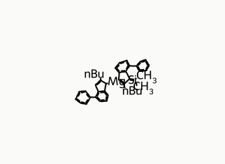 CCCCC1=Cc2c(-c3ccccc3)cccc2[CH]1[Mg][C]1=C(CCCC)C(=[Si](C)C)c2c1cccc2-c1ccccc1